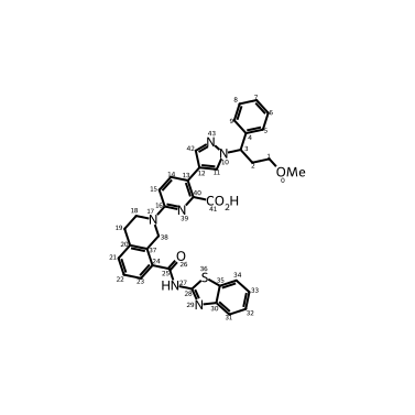 COCCC(c1ccccc1)n1cc(-c2ccc(N3CCc4cccc(C(=O)Nc5nc6ccccc6s5)c4C3)nc2C(=O)O)cn1